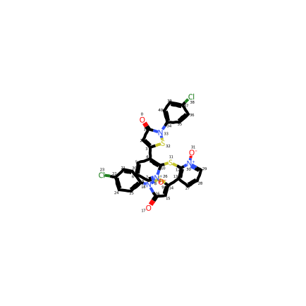 O=c1cc(-c2ccc[n+]([O-])c2Sc2c(-c3cc(=O)n(-c4ccc(Cl)cc4)s3)ccc[n+]2[O-])sn1-c1ccc(Cl)cc1